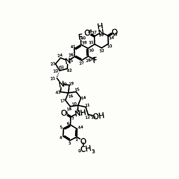 COc1cccc(C(=O)NC2(CCO)CCC3(CC2)CN(C[C@@H]2CCN(c4cc(F)c(C5CCC(=O)NC5=O)c(F)c4)C2)C3)c1